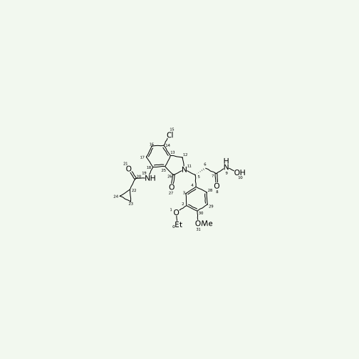 CCOc1cc([C@@H](CC(=O)NO)N2Cc3c(Cl)ccc(NC(=O)C4CC4)c3C2=O)ccc1OC